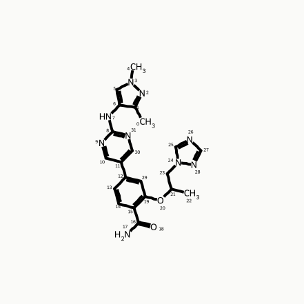 Cc1nn(C)cc1Nc1ncc(-c2ccc(C(N)=O)c(OC(C)Cn3cncn3)c2)cn1